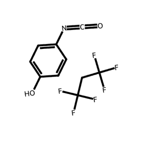 FC(F)(F)CC(F)(F)F.O=C=Nc1ccc(O)cc1